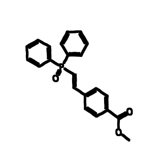 COC(=O)c1ccc(/C=C/P(=O)(c2ccccc2)c2ccccc2)cc1